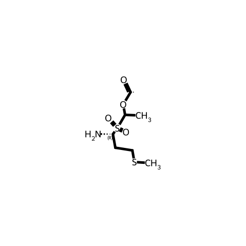 CSCC[C@H](N)S(=O)(=O)C(C)O[C]=O